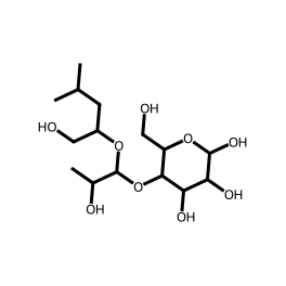 CC(C)CC(CO)OC(OC1C(CO)OC(O)C(O)C1O)C(C)O